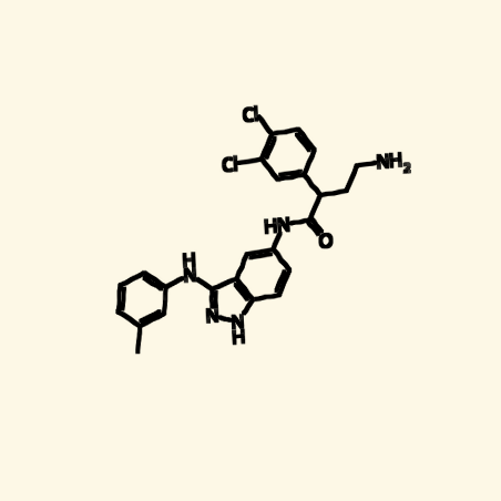 Cc1cccc(Nc2n[nH]c3ccc(NC(=O)C(CCN)c4ccc(Cl)c(Cl)c4)cc23)c1